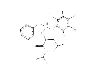 CC(C)C[C@H](NP(=O)(Oc1ccccc1)Oc1c(F)c(F)c(F)c(F)c1F)C(=O)OC(C)C